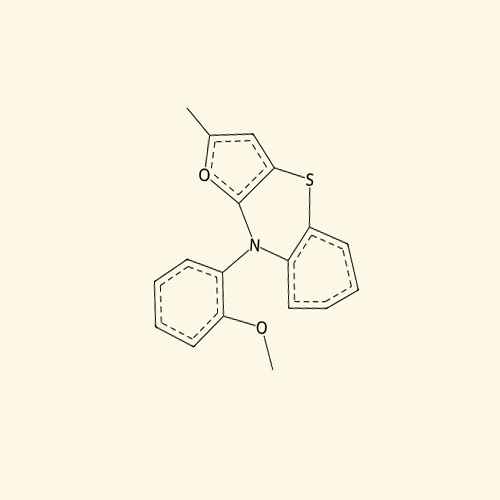 COc1ccccc1N1c2ccccc2Sc2cc(C)oc21